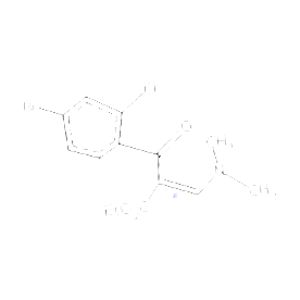 CCOC(=O)/C(=C/N(C)C)C(=O)c1ccc(Br)cc1Cl